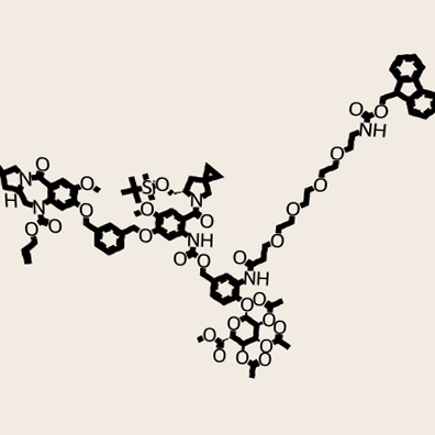 C=CCOC(=O)N1C[C@@H]2CC3(CC3)CN2C(=O)c2cc(OC)c(OCc3cccc(COc4cc(NC(=O)OCc5ccc(O[C@H]6O[C@@H](C(=O)OC)[C@H](OC(C)=O)[C@@H](OC(C)=O)[C@@H]6OC(C)=O)c(NC(=O)CCOCCOCCOCCOCCNC(=O)OCC6c7ccccc7-c7ccccc76)c5)c(C(=O)N5CC6(CC6)C[C@H]5CO[Si](C)(C)C(C)(C)C)cc4OC)c3)cc21